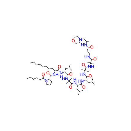 CCCCCCCCC(NC(=O)[C@@H]1CCCN1C(=O)CCCCC)C(=O)NC(CC(C)C)C(=O)NC(C)(C)C(=O)NC(CC(C)C)C(=O)NC(CC(C)C)C(=O)NC(C)(C)C(=O)NC(C)(C)C(=O)NCCC(=O)NC(C)CN1CCOCC1